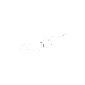 O=CCCCC1CCN(CCCC2CCOCC2)CC1